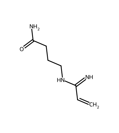 C=CC(=N)NCCCC(N)=O